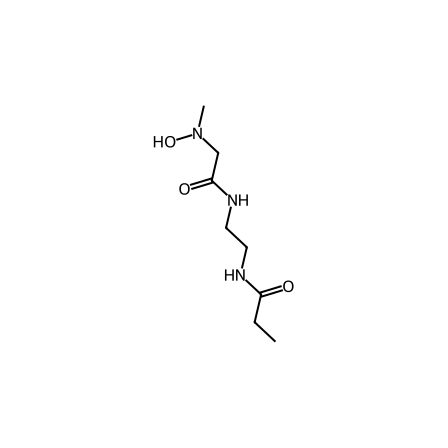 CCC(=O)NCCNC(=O)CN(C)O